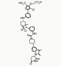 C=C1N(C)c2cc(C3CCN(C(=O)Nc4cccc(C5C6(C)C[C@@H](Nc7cccc(-c8sc(C(=O)O)c(OCC(=O)O)c8Cl)c7)CCN6S5(=O)=O)c4)CC3)ccc2N1C1CCC(=O)NC1=O